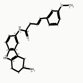 COc1cccc(/C=C/CC(=O)Nc2ccc3[nH]c4c(c3c2)CC(N)CC4)c1